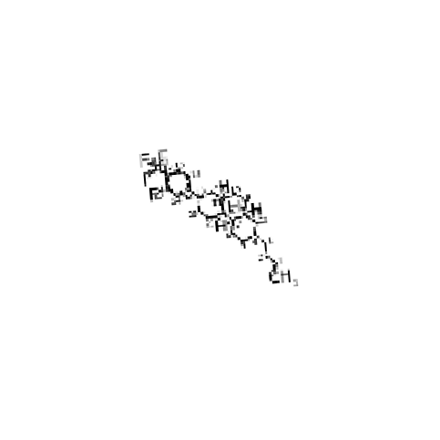 C=CCC[C@@H]1CC[C@H]2[C@H](CC[C@H]3CC(c4ccc(C(F)(F)F)c(F)c4)CC[C@@H]32)C1